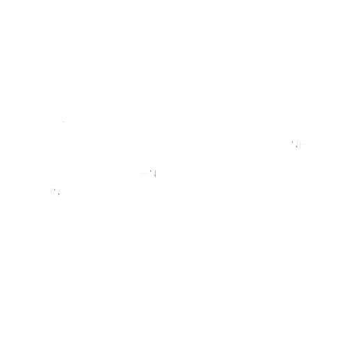 CC(C)(C)C[C@@H]1CC(CC(C)(C)C[C@H]2CC(CC(C)(C)C3CCNCC3)N2)N1